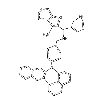 Nc1c(C(NCc2ccc(N3c4cc5ccccc5cc4-c4cccc5cccc3c45)cc2)C2=CC=CNC2)oc2ccccc12